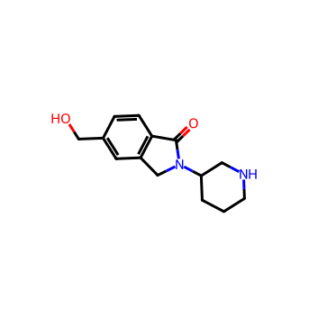 O=C1c2ccc(CO)cc2CN1C1CCCNC1